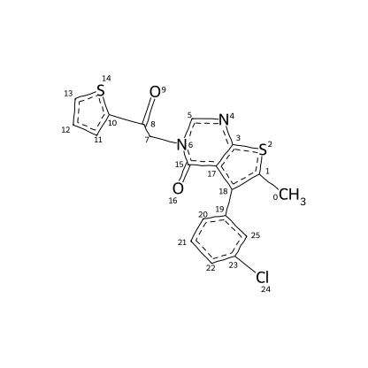 Cc1sc2ncn(CC(=O)c3cccs3)c(=O)c2c1-c1cccc(Cl)c1